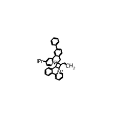 C=CC1C2C(c3ccccc3-c3cccc[n+]32)C12Cc1ccc(-c3ccccc3)cc1-c1cc(C(C)C)cc[n+]12